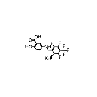 O=C(O)c1cc(NCc2c(F)c(F)c(C(F)(F)F)c(F)c2F)ccc1O.[KH]